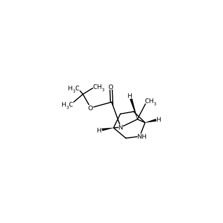 C[C@@H]1[C@@H]2CC[C@@H](CN2)N1C(=O)OC(C)(C)C